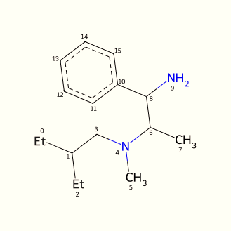 CCC(CC)CN(C)C(C)C(N)c1ccccc1